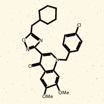 COc1cc2c(=O)c(-c3noc(CC4CCCCC4)n3)cn(Cc3ccc(Cl)cc3)c2cc1OC